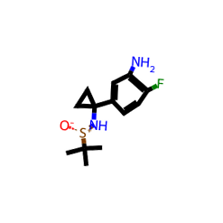 CC(C)(C)[S@+]([O-])NC1(c2ccc(F)c(N)c2)CC1